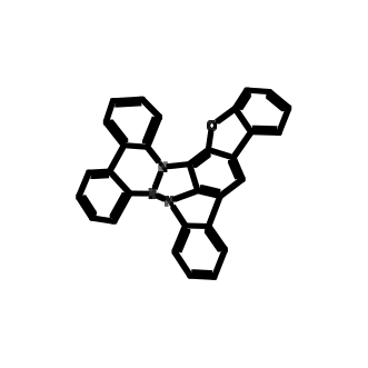 c1ccc2c(c1)B1N(c3ccccc3-2)c2c3oc4ccccc4c3cc3c4ccccc4n1c23